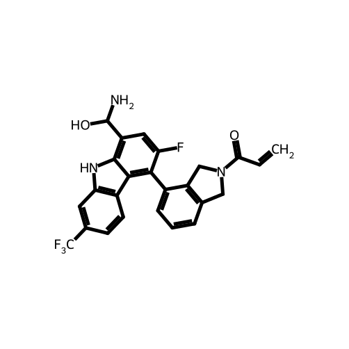 C=CC(=O)N1Cc2cccc(-c3c(F)cc(C(N)O)c4[nH]c5cc(C(F)(F)F)ccc5c34)c2C1